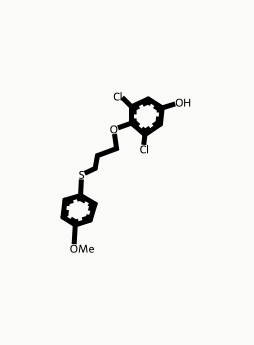 COc1ccc(SCCCOc2c(Cl)cc(O)cc2Cl)cc1